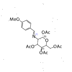 COc1ccc(/C=N/C2C(OC(C)=O)[C@H](OC(C)=O)C(COC(C)=O)O[C@H]2OC(C)=O)cc1